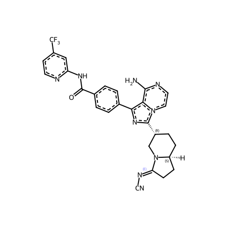 N#C/N=C1\CC[C@@H]2CC[C@@H](c3nc(-c4ccc(C(=O)Nc5cc(C(F)(F)F)ccn5)cc4)c4c(N)nccn34)CN12